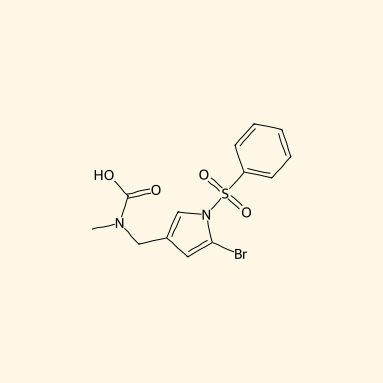 CN(Cc1cc(Br)n(S(=O)(=O)c2ccccc2)c1)C(=O)O